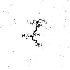 C=C(C)NCCCNC(=C)CCOCC